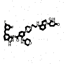 O=C1CCC(n2ccc3c(NCCN4CCN(c5ccc(C(=O)Nc6n[nH]c7ccc(Cc8cc(F)cc(F)c8)cc67)c(NC6CCOCC6)c5)CC4)cccc32)C(=O)N1